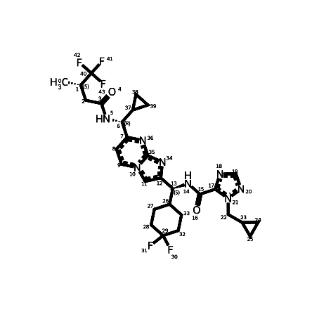 C[C@@H](CC(=O)N[C@@H](c1ccn2cc([C@@H](NC(=O)c3ncnn3CC3CC3)C3CCC(F)(F)CC3)nc2n1)C1CC1)C(F)(F)F